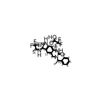 C[C@H](c1ccccc1)N1Cc2cc3c(N[C@@H](C)C(F)(F)F)n[nH]c3cc2NC1=O.O=C(O)C(F)(F)F